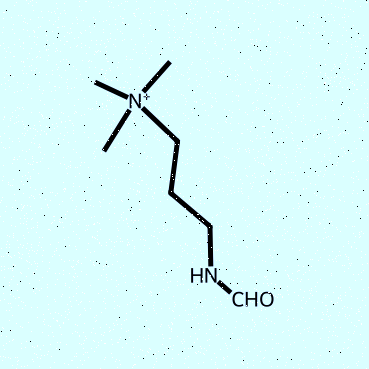 C[N+](C)(C)CCCNC=O